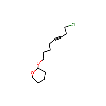 ClCCC#CCCCCOC1CCCCO1